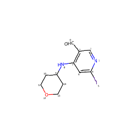 O=Cc1cnc(I)cc1NC1CCOCC1